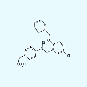 CCN(Cc1cc(Cl)ccc1OCc1ccccc1)c1ccc(OC(=O)O)cn1